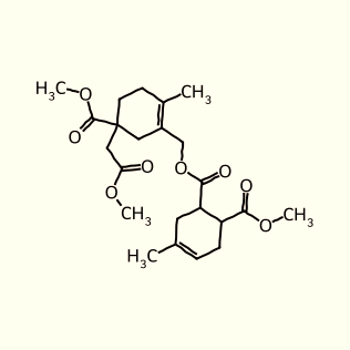 COC(=O)CC1(C(=O)OC)CCC(C)=C(COC(=O)C2CC(C)=CCC2C(=O)OC)C1